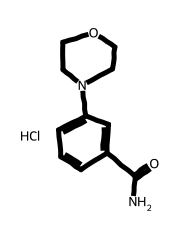 Cl.NC(=O)c1cccc(N2CCOCC2)c1